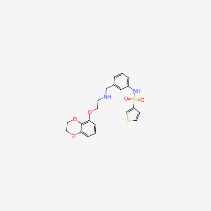 O=S(=O)(Nc1cccc(CNCCOc2cccc3c2OCCO3)c1)c1ccsc1